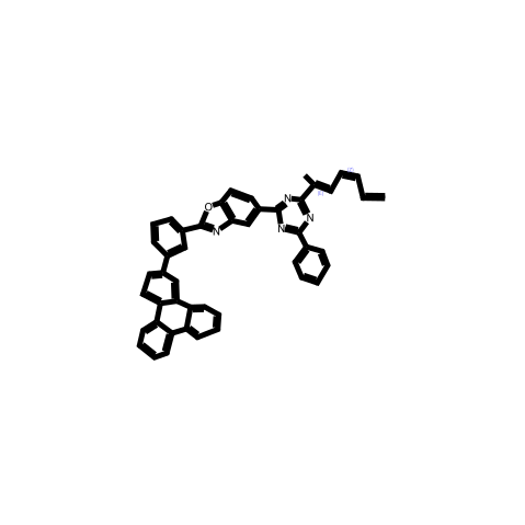 C=C/C=C\C=C(/C)c1nc(-c2ccccc2)nc(-c2ccc3oc(-c4cccc(-c5ccc6c7ccccc7c7ccccc7c6c5)c4)nc3c2)n1